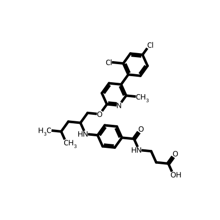 Cc1nc(OCC(CC(C)C)Nc2ccc(C(=O)NCCC(=O)O)cc2)ccc1-c1ccc(Cl)cc1Cl